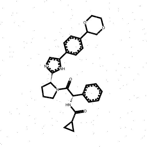 O=C(N[C@H](C(=O)N1CCC[C@@H]1c1ncc(-c2ccc(C3COCCO3)cc2)[nH]1)c1ccccc1)C1CC1